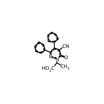 CC(C(=O)O)n1nc(-c2ccccc2)c(-c2ccccc2)c(C#N)c1=O